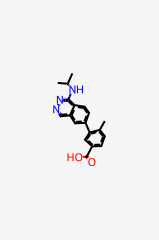 Cc1ccc(C(=O)O)cc1-c1ccc2c(NC(C)C)nncc2c1